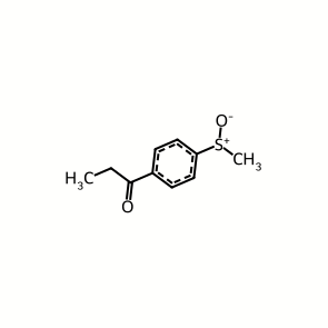 CCC(=O)c1ccc([S+](C)[O-])cc1